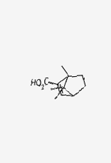 CC12CCC(C=C1C(=O)O)C2(C)C